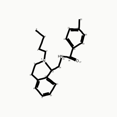 CCCCN1CCc2ccccc2C1CNC(=O)c1ccc(C)cc1